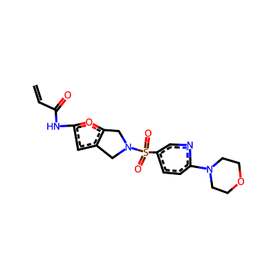 C=CC(=O)Nc1cc2c(o1)CN(S(=O)(=O)c1ccc(N3CCOCC3)nc1)C2